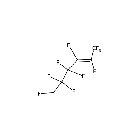 FCC(F)(F)C(F)(F)C(F)=C(F)C(F)(F)F